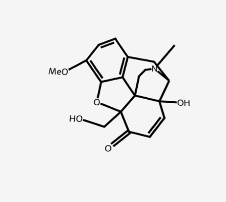 COc1ccc2c3c1OC1(CO)C(=O)C=CC4(O)C(C2)N(C)CCC314